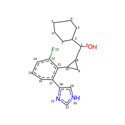 OC(C1CCCCC1)C1CC1c1c(F)cccc1-c1c[nH]cn1